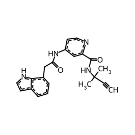 C#CC(C)(C)NC(=O)c1cc(NC(=O)Cc2cccc3cc[nH]c23)ccn1